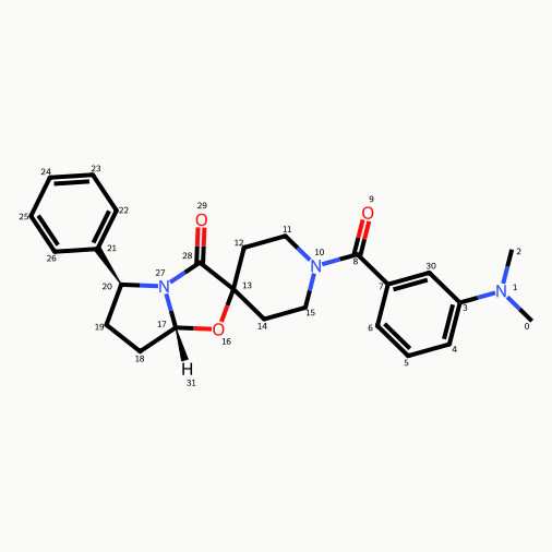 CN(C)c1cccc(C(=O)N2CCC3(CC2)O[C@@H]2CC[C@@H](c4ccccc4)N2C3=O)c1